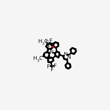 Cc1ccc2c(c1)c1cc(C)ccc1n2-c1c(-c2cccc(C(F)(F)F)c2)cc(-c2cc(-c3ccccc3)nc(-c3ccccc3)n2)cc1-c1cccc(C(F)(F)F)c1